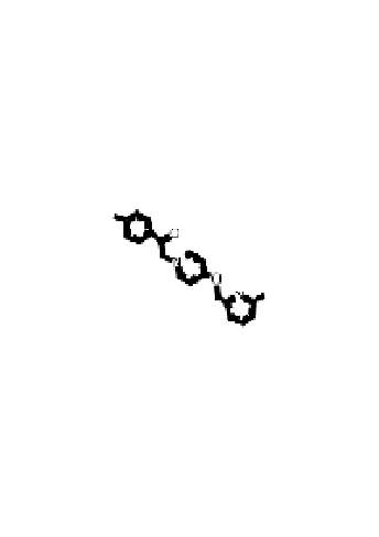 Cc1ccc(C(=O)C[n+]2ccc(OCc3cccc(C)n3)cc2)cc1